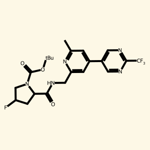 Cc1cc(-c2cnc(C(F)(F)F)nc2)cc(CNC(=O)C2CC(F)CN2C(=O)OC(C)(C)C)n1